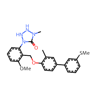 COc1cccc(N2NNN(C)C2=O)c1COc1ccc(-c2cccc(SC)c2)cc1C